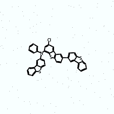 Clc1cc(N(c2ccccc2)c2ccc3sc4ccccc4c3c2)c2sc3ccc(-c4ccc5sc6ccccc6c5c4)cc3c2c1